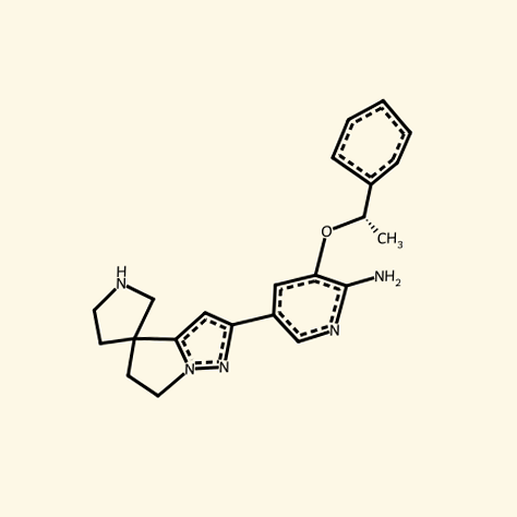 C[C@H](Oc1cc(-c2cc3n(n2)CCC32CCNC2)cnc1N)c1ccccc1